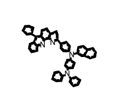 c1ccc(-c2c3ccccc3nc3c2ccc2ccc(-c4ccc(N(c5ccc(N(c6ccccc6)c6ccccc6)cc5)c5ccc6ccccc6c5)cc4)nc23)cc1